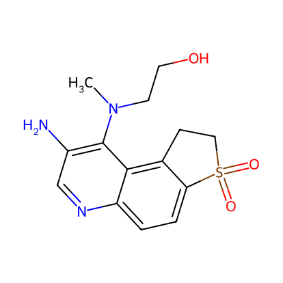 CN(CCO)c1c(N)cnc2ccc3c(c12)CCS3(=O)=O